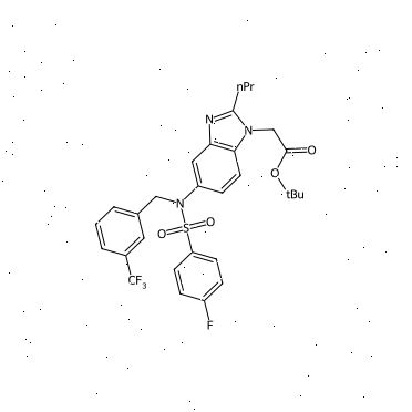 CCCc1nc2cc(N(Cc3cccc(C(F)(F)F)c3)S(=O)(=O)c3ccc(F)cc3)ccc2n1CC(=O)OC(C)(C)C